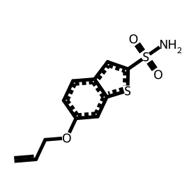 C=CCOc1ccc2cc(S(N)(=O)=O)sc2c1